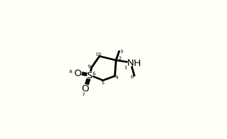 CNC1(C)CCS(=O)(=O)CC1